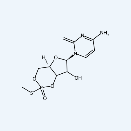 C=C1N=C(N)C=CN1[C@@H]1O[C@@H]2COP(=O)(SC)OC2C1O